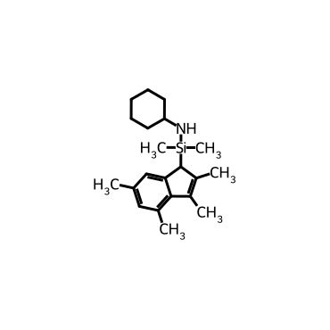 CC1=C(C)C([Si](C)(C)NC2CCCCC2)c2cc(C)cc(C)c21